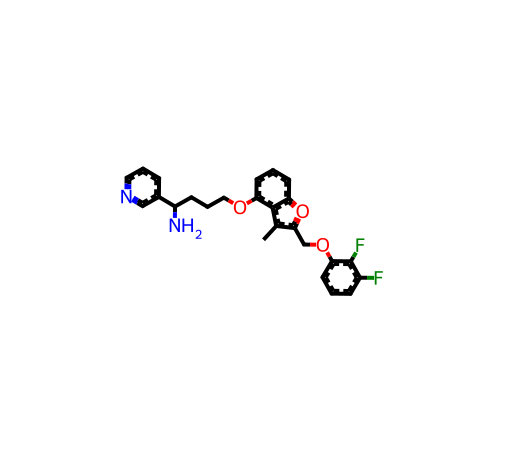 Cc1c(COc2cccc(F)c2F)oc2cccc(OCCCC(N)c3cccnc3)c12